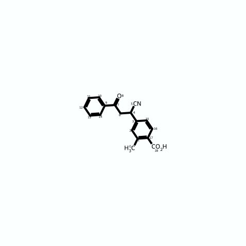 Cc1cc(C(C#N)CC(=O)c2ccccc2)ccc1C(=O)O